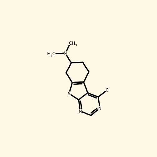 CN(C)C1CCc2c(sc3ncnc(Cl)c23)C1